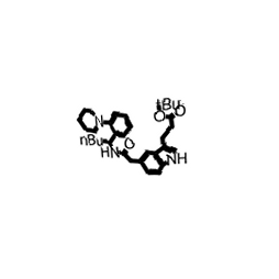 CCCCC(NC(=O)Cc1ccc2[nH]cc(CCC(=O)OC(C)(C)C)c2c1)c1ccccc1N1CCCCC1